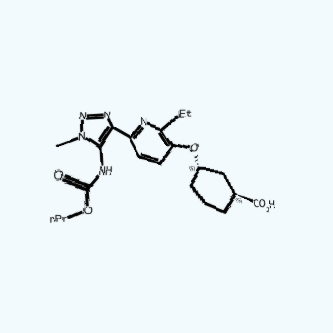 CCCOC(=O)Nc1c(-c2ccc(O[C@H]3CCC[C@H](C(=O)O)C3)c(CC)n2)nnn1C